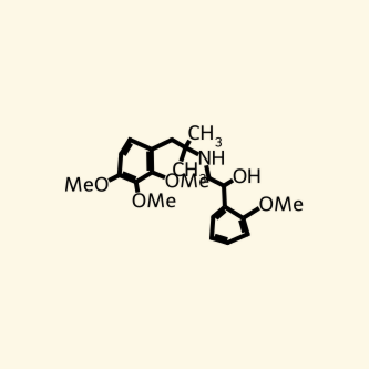 COc1ccccc1C(O)CNC(C)(C)Cc1ccc(OC)c(OC)c1OC